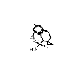 CC(C)(C)C1c2c(F)cc(F)cc2OCC12CC2